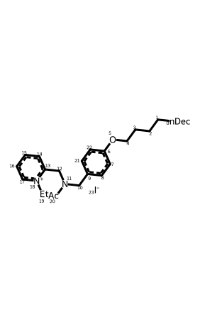 CCCCCCCCCCCCCCOc1ccc(CN(Cc2cccc[n+]2CC)C(C)=O)cc1.[I-]